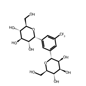 OC[C@H]1O[C@H](c2cc([C@H]3O[C@H](CO)[C@@H](O)[C@H](O)[C@@H]3O)cc(C(F)(F)F)c2)[C@H](O)[C@@H](O)[C@@H]1O